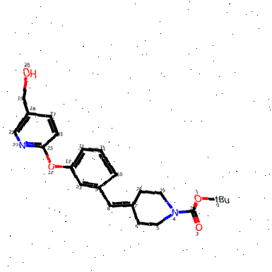 CC(C)(C)OC(=O)N1CCC(=Cc2cccc(Oc3ccc(CO)cn3)c2)CC1